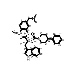 CC(C)Oc1ccc(CN(C)C)cc1NC(=O)[C@H](NC(=O)N1CCC(c2ccccc2)CC1)[C@@H](C)c1c[nH]c2ccccc12